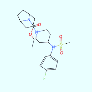 CCOC(=O)N1C2CCC1CC(N1CCC(N(c3ccc(F)cc3)S(C)(=O)=O)CC1)C2